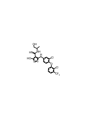 CC(CO)NC(=N)c1c(O)nsc1Nc1ccc(Oc2cccc(C(F)(F)F)c2Cl)c(Cl)c1